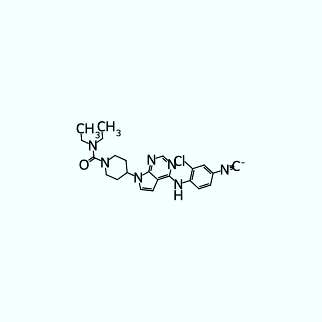 [C-]#[N+]c1ccc(Nc2ncnc3c2ccn3C2CCN(C(=O)N(CC)CC)CC2)c(Cl)c1